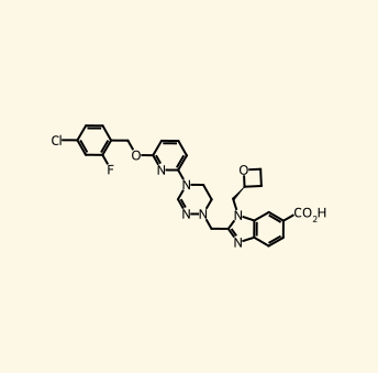 O=C(O)c1ccc2nc(CN3CCN(c4cccc(OCc5ccc(Cl)cc5F)n4)C=N3)n(C[C@@H]3CCO3)c2c1